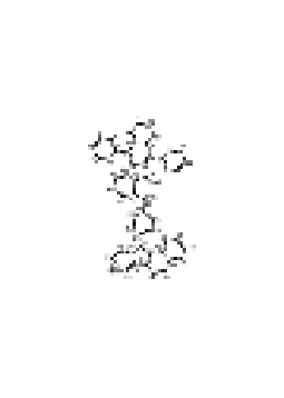 c1ccc(-c2c3c(c(-c4ccccc4)c4ccccc24)-c2ccc(-c4ccc(-n5c6ccncc6c6ccc7ccccc7c65)cc4)c4cccc-3c24)cc1